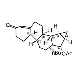 CCCC[C@]12CC[C@H]3[C@@H](CCC4=CC(=O)CC[C@@H]43)[C@@H]1[C@H]1C[C@H]1[C@@H]2OC(C)=O